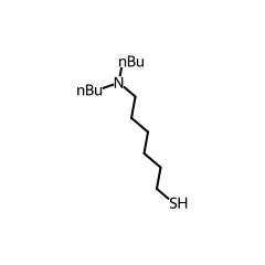 CCCCN(CCCC)CCCCCCS